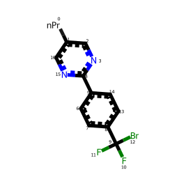 CCCc1cnc(-c2ccc(C(F)(F)Br)cc2)nc1